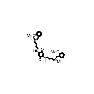 CCN(CCCCNC1=CC(=O)C(NCCCCN(CC)Cc2ccccc2OC)=CC1=O)Cc1ccccc1OC